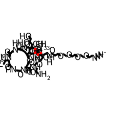 CC[C@H](C)[C@H]1NC(=O)CNC(=O)[C@@H]2Cc3c([nH]c4c(CSCCNC(=O)CCOCCOCCOCCOCCN=[N+]=[N-])c(OC)ccc34)[S+]([O-])C[C@H](NC(=O)CNC3OC31)C(=O)N[C@@H](CC(N)=O)C(=O)N1C[C@H](O)C[C@@H]1C(=O)N[C@@H]([C@@H](C)[C@@H](O)CO)C(=O)N2